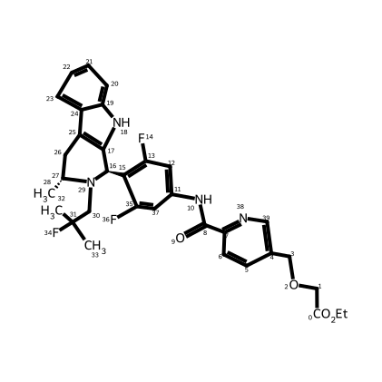 CCOC(=O)COCc1ccc(C(=O)Nc2cc(F)c([C@@H]3c4[nH]c5ccccc5c4C[C@@H](C)N3CC(C)(C)F)c(F)c2)nc1